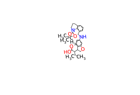 CC(C)C(C(=O)O)C1COc2cc(NCc3cccc4c3N(C(=O)OC(C)(C)C)CCC4)ccc21